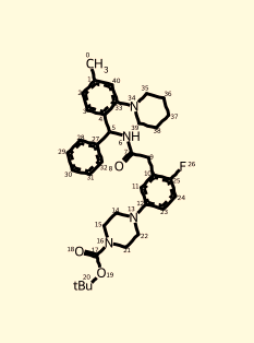 Cc1ccc(C(NC(=O)Cc2cc(N3CCN(C(=O)OC(C)(C)C)CC3)ccc2F)c2ccccc2)c(N2CCCCC2)c1